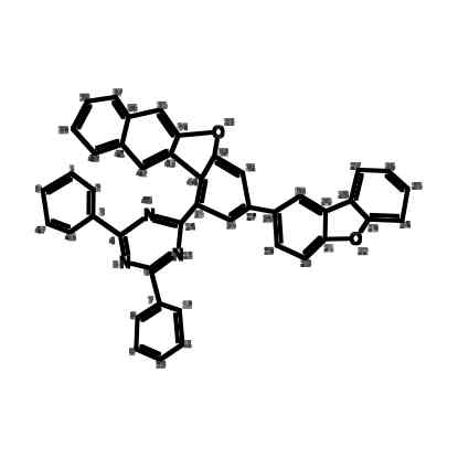 c1ccc(-c2nc(-c3ccccc3)nc(-c3cc(-c4ccc5oc6ccccc6c5c4)cc4oc5cc6ccccc6cc5c34)n2)cc1